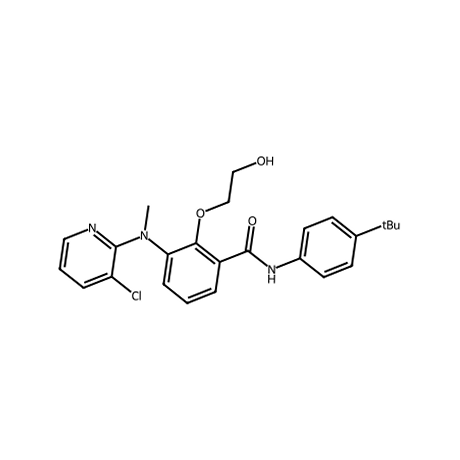 CN(c1cccc(C(=O)Nc2ccc(C(C)(C)C)cc2)c1OCCO)c1ncccc1Cl